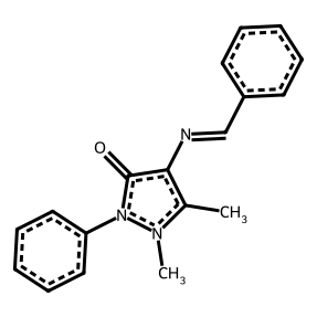 Cc1c(N=Cc2ccccc2)c(=O)n(-c2ccccc2)n1C